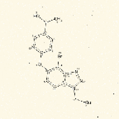 CC(O)c1ccc(Oc2ccc3c(nnn3CC(C)(C)C)c2Br)nc1